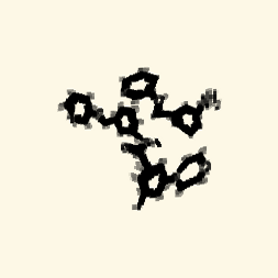 Nc1cccc(COc2cccnc2)c1.O=C(Nc1cccc(COc2cccnc2)c1)c1cc(F)cc(N2CCOCC2)c1